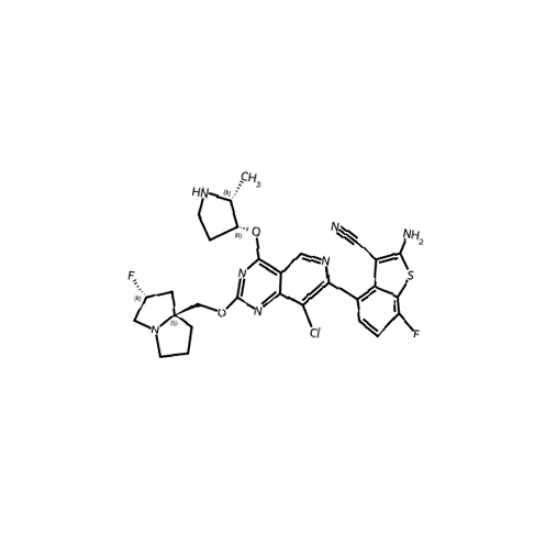 C[C@H]1NCC[C@H]1Oc1nc(OC[C@@]23CCCN2C[C@H](F)C3)nc2c(Cl)c(-c3ccc(F)c4sc(N)c(C#N)c34)ncc12